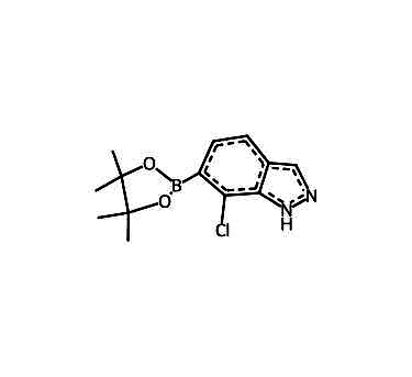 CC1(C)OB(c2ccc3cn[nH]c3c2Cl)OC1(C)C